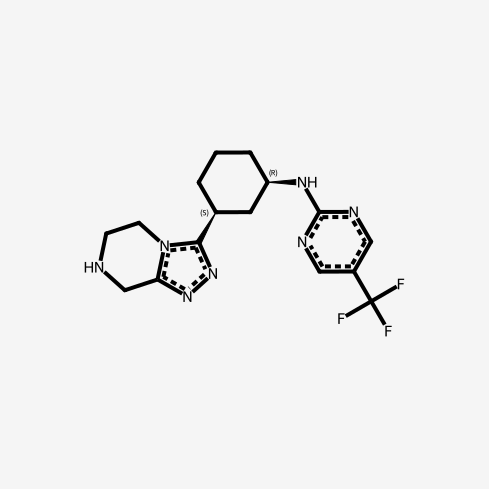 FC(F)(F)c1cnc(N[C@@H]2CCC[C@H](c3nnc4n3CCNC4)C2)nc1